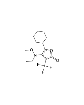 CCN(OC)c1c(C(F)(F)F)c(=O)on1C1CCCCC1